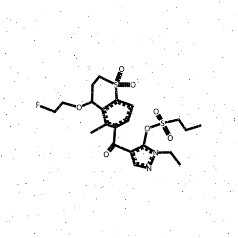 CCCS(=O)(=O)Oc1c(C(=O)c2ccc3c(c2C)C(OCCF)CCS3(=O)=O)cnn1CC